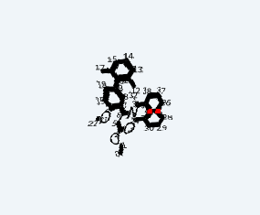 CCOC(=O)C[C@@H](c1cc(-c2c(C)cccc2C)ccc1OC)N(Cc1ccccc1)[C@H](C)c1ccccc1